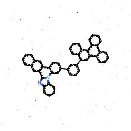 c1cc(-c2ccc3c4cc5ccccc5cc4c4nc5ccccc5n4c3c2)cc(-c2cc3c4ccccc4c4ccccc4c3c3ccccc23)c1